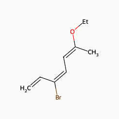 C=C/C(Br)=C\C=C(/C)OCC